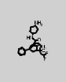 CC1(CC(F)F)C2CC3(C(=O)N[C@H]4CC[C@H](N)CC4)CC1CC(c1ccccc1)(C2)C3